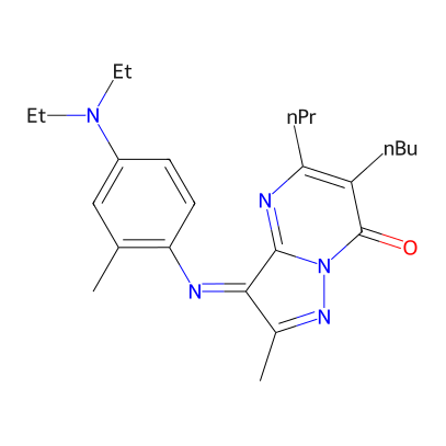 CCCCc1c(CCC)nc2n(c1=O)N=C(C)C2=Nc1ccc(N(CC)CC)cc1C